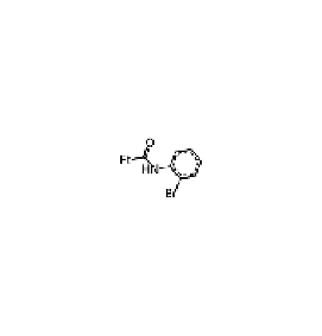 CCC(=O)Nc1ccccc1Br